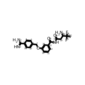 N=C(N)c1ccc(COc2cccc(C(=O)NC(=O)CC(N)C(F)(F)F)c2)cc1